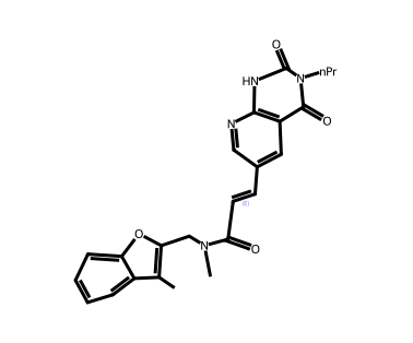 CCCn1c(=O)[nH]c2ncc(/C=C/C(=O)N(C)Cc3oc4ccccc4c3C)cc2c1=O